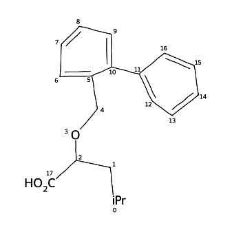 CC(C)CC(OCc1ccccc1-c1ccccc1)C(=O)O